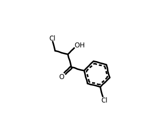 O=C(c1cccc(Cl)c1)C(O)CCl